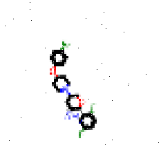 N[C@H]1CC(N2CCC(Oc3ccc(Br)cc3)CC2)CO[C@@H]1c1cc(F)ccc1F